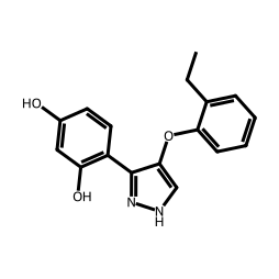 CCc1ccccc1Oc1c[nH]nc1-c1ccc(O)cc1O